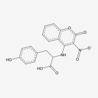 O=C(O)C(Cc1ccc(O)cc1)Nc1c([N+](=O)[O-])c(=O)oc2ccccc12